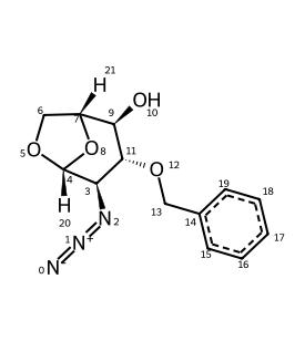 [N-]=[N+]=N[C@H]1[C@@H]2OC[C@@H](O2)[C@@H](O)[C@@H]1OCc1ccccc1